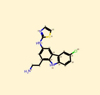 NCCc1cc(Nc2nccs2)cc2c1[nH]c1ccc(Cl)cc12